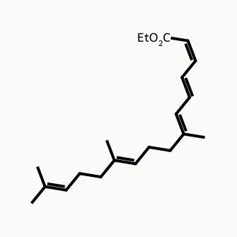 CCOC(=O)\C=C/C=C/C=C(\C)CC/C=C(\C)CCC=C(C)C